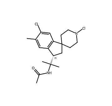 CC(=O)NC(C)(C)[C@H]1CC2(CCN(Cl)CC2)c2cc(Cl)c(C)cc21